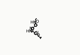 C=CC(=O)Nc1cccc(-c2cnc3[nH]cc(-c4ccc(OCC5CC5)nc4)c3c2)c1